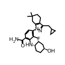 CC1(C)CCc2c(CC3CC3)nn(-c3ccc(C(N)=O)c(N[C@H]4CC[C@H](O)CC4)c3F)c2C1